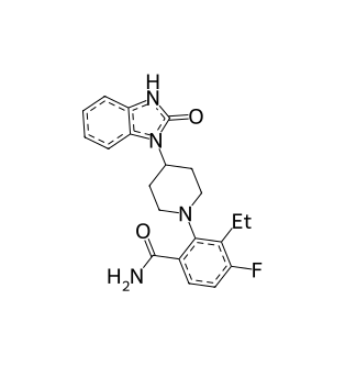 CCc1c(F)ccc(C(N)=O)c1N1CCC(n2c(=O)[nH]c3ccccc32)CC1